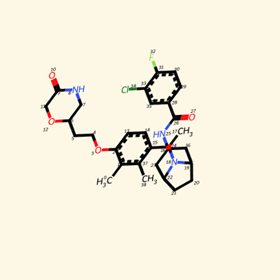 Cc1c(OCCC2CNC(=O)CO2)ccc(C(C)N2C3CCC2CC(NC(=O)c2ccc(F)c(Cl)c2)C3)c1C